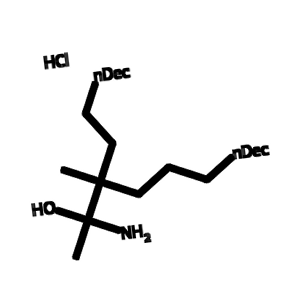 CCCCCCCCCCCCCC(C)(CCCCCCCCCCCC)C(C)(N)O.Cl